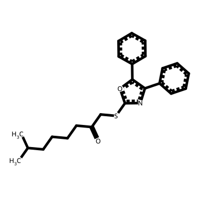 CC(C)CCCCC(=O)CSc1nc(-c2ccccc2)c(-c2ccccc2)o1